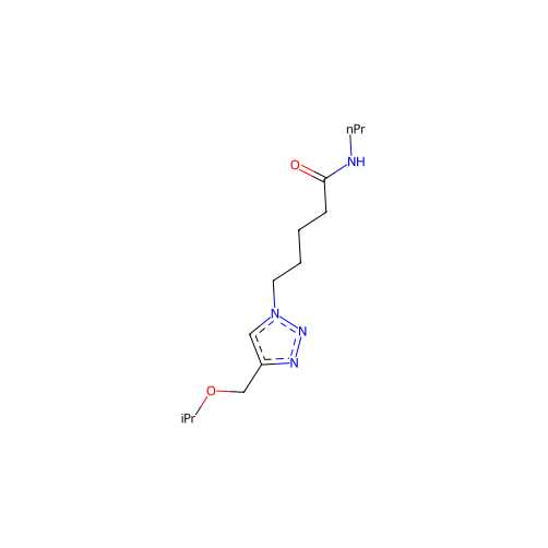 CCCNC(=O)CCCCn1cc(COC(C)C)nn1